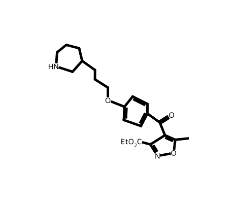 CCOC(=O)c1noc(C)c1C(=O)c1ccc(OCCCC2CCCNC2)cc1